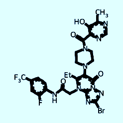 CCc1c(N2CCN(C(=O)c3ncnc(C)c3O)CC2)c(=O)n2nc(Br)nc2n1CC(=O)Nc1ccc(C(F)(F)F)cc1F